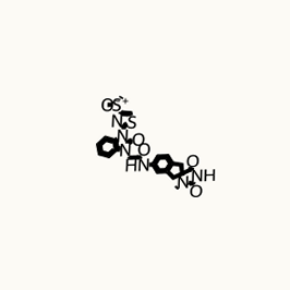 CN1C(=O)NC(=O)C12Cc1ccc(NC(=O)Cn3c(=O)n(-c4nc([S+](C)[O-])cs4)c4ccccc43)cc1C2